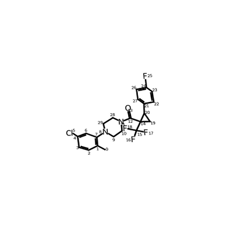 Cc1ccc(Cl)cc1N1CCN(C(=O)C2(C(F)(F)F)CC2c2ccc(F)cc2)CC1